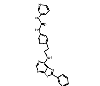 O=C(Nc1ccc(CCNc2ncnc3sc(-c4ccccc4)nc23)cc1)Nc1cccnc1